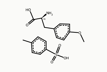 COc1ccc(C[C@H](N)C(=O)O)cc1.Cc1ccc(S(=O)(=O)O)cc1